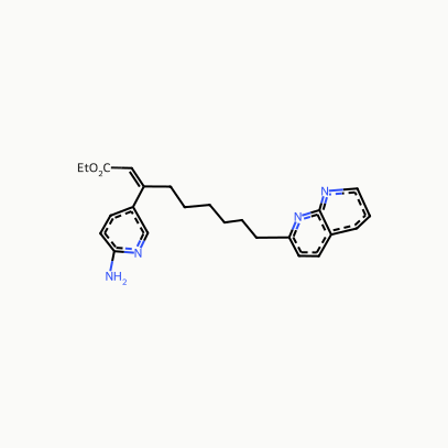 CCOC(=O)/C=C(/CCCCCCc1ccc2cccnc2n1)c1ccc(N)nc1